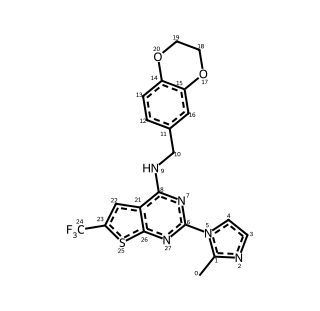 Cc1nccn1-c1nc(NCc2ccc3c(c2)OCCO3)c2cc(C(F)(F)F)sc2n1